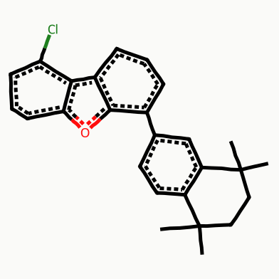 CC1(C)CCC(C)(C)c2cc(-c3cccc4c3oc3cccc(Cl)c34)ccc21